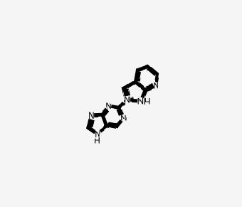 c1cnc2[nH][n+](-c3ncc4[nH]cnc4n3)cc2c1